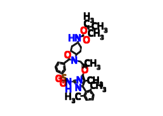 Cc1cccc(C)c1-c1nc2nc(c1C)O[C@H](C)CN(C1CCC(NC(=O)OC(C)(C)C)CC1)C(=O)c1cccc(c1)S(=O)(=O)N2